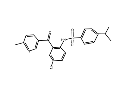 Cc1ccc(C(=O)c2cc(Cl)ccc2NS(=O)(=O)c2ccc(C(C)C)cc2)cn1